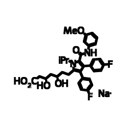 COc1cccc(NC(=O)c2c(-c3ccc(F)cc3)c(-c3ccc(F)cc3)c(CC[C@@H](O)C[C@@H](O)CC(=O)O)n2C(C)C)c1.[Na]